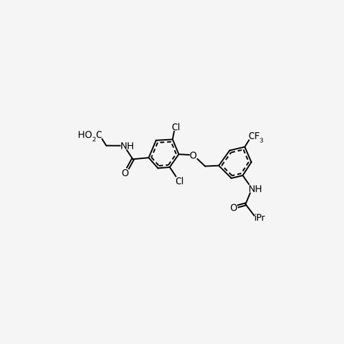 CC(C)C(=O)Nc1cc(COc2c(Cl)cc(C(=O)NCC(=O)O)cc2Cl)cc(C(F)(F)F)c1